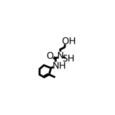 CC1=CCCCC1NC(=O)N(S)CCO